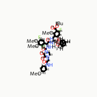 COc1ccc(NC(=O)CN2CCN(C(=O)NC(C(=O)N[C@@H](Cc3ccc(F)c(C(=O)OC(C)(C)C)c3OC)B3O[C@@H]4C[C@@H]5C[C@@H](C5(C)C)[C@]4(C)O3)c3cc(F)c(OC)c(OC)c3Cl)C(=O)C2=O)cc1